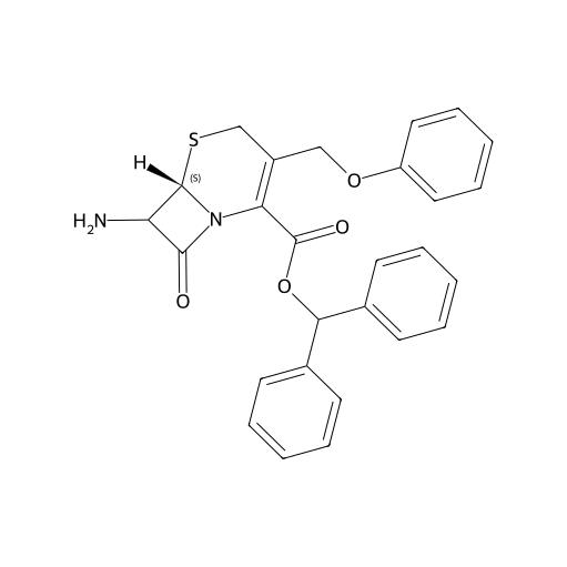 NC1C(=O)N2C(C(=O)OC(c3ccccc3)c3ccccc3)=C(COc3ccccc3)CS[C@@H]12